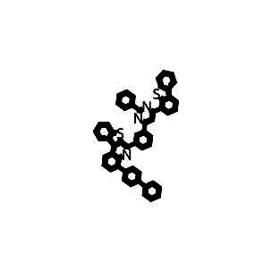 c1ccc(-c2ccc(-c3cccc4c3nc(-c3cccc(-c5cc(-c6cccc7c6sc6ccccc67)nc(-c6ccccc6)n5)c3)c3sc5ccccc5c34)cc2)cc1